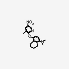 Cc1cc([N+](=O)[O-])cnc1Oc1ccc(N(C)C)c2c1CCCC2